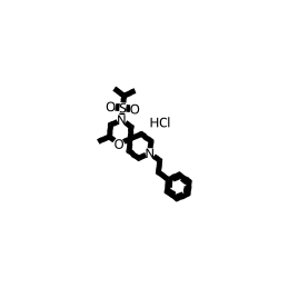 CC1CN(S(=O)(=O)C(C)C)CC2(CCN(CCc3ccccc3)CC2)O1.Cl